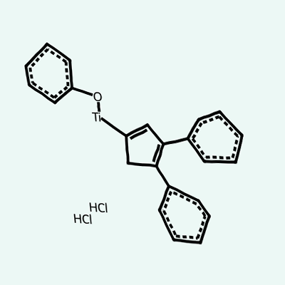 C1=[C]([Ti][O]c2ccccc2)CC(c2ccccc2)=C1c1ccccc1.Cl.Cl